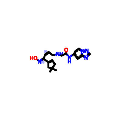 CC1(C)CC=C(C(/C=C\CNCC(=O)Nc2ccn3ncnc3c2)=N/O)C1